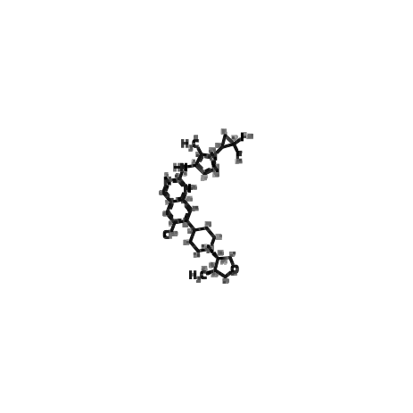 Cc1c(Nc2ncc3cc(Cl)c(C4CCN([C@H]5COC[C@H]5C)CC4)cc3n2)cnn1C1CC1(F)F